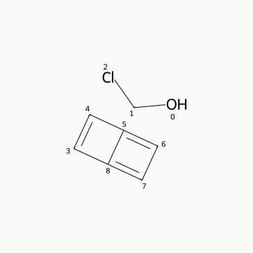 OCCl.c1cc2ccc1-2